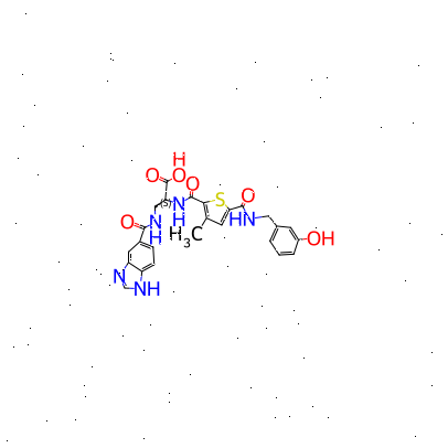 Cc1cc(C(=O)NCc2cccc(O)c2)sc1C(=O)N[C@@H](CNC(=O)c1ccc2[nH]cnc2c1)C(=O)O